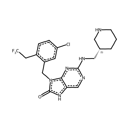 O=c1[nH]c2cnc(NC[C@H]3CCCNC3)nc2n1Cc1cc(Cl)ccc1CC(F)(F)F